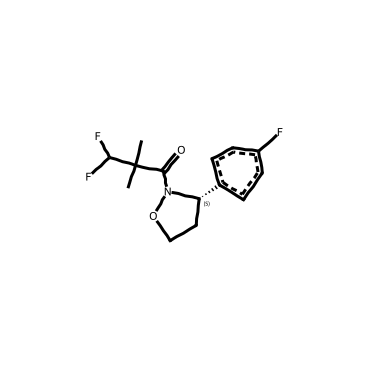 CC(C)(C(=O)N1OCC[C@H]1c1ccc(F)cc1)C(F)F